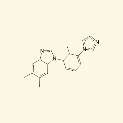 CC1=CC2N=CN(C3C=CC=C(n4ccnc4)C3C)C2C=C1C